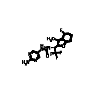 Cc1c([C@@H](NC(=O)Nc2cnc(N)nc2)C(F)(F)F)oc2cccc(F)c12